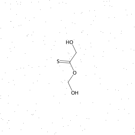 OCOC(=S)CO